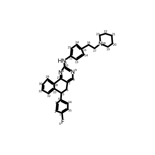 Fc1ccc(C2Cc3cnc(Nc4ccc(CCN5CCCCC5)cc4)nc3-c3ccccc32)cc1